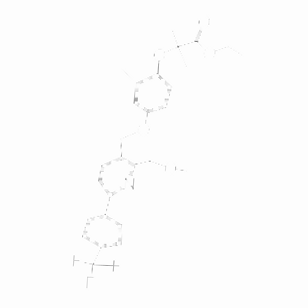 CCOC(=O)C(C)(C)Oc1ccc(OCc2ccc(-c3ccc(C(F)(F)F)cc3)nc2COC)cc1C